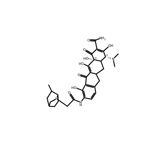 CC1CC2CCC1N(CC(=O)Nc1ccc3c(c1O)C(=O)C1=C(O)[C@@]4(O)C(=O)C(C(N)=O)=C(O)[C@H](N(C)C)C4CC1C3)C2